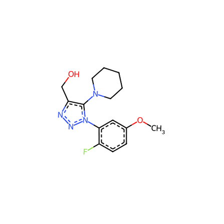 COc1ccc(F)c(-n2nnc(CO)c2N2CCCCC2)c1